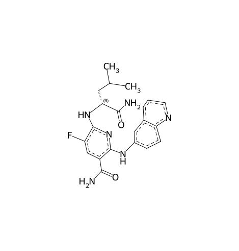 CC(C)C[C@@H](Nc1nc(Nc2ccc3ncccc3c2)c(C(N)=O)cc1F)C(N)=O